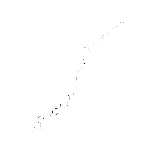 CCCOCCOCCNC(=O)CCOCC(N)(CO)COCCC(=O)NCCOCCOCCNC(=O)CC[C@H](NC(=O)c1ccc(NCc2cnc3nc(N)[nH]c(=O)c3n2)cc1)C(=O)O